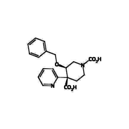 O=C(O)N1CC[C@](C(=O)O)(c2ccccn2)[C@@H](OCc2ccccc2)C1